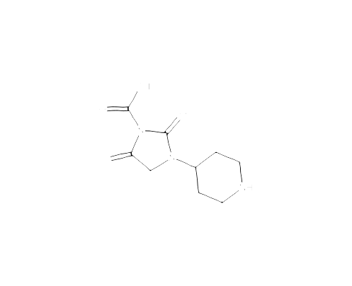 CC(=O)N1C(=O)CN(C2CCNCC2)C1=O